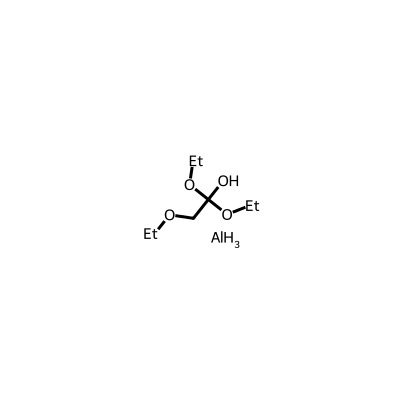 CCOCC(O)(OCC)OCC.[AlH3]